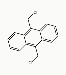 ClCc1c2ccccc2c(CCl)c2ccccc12